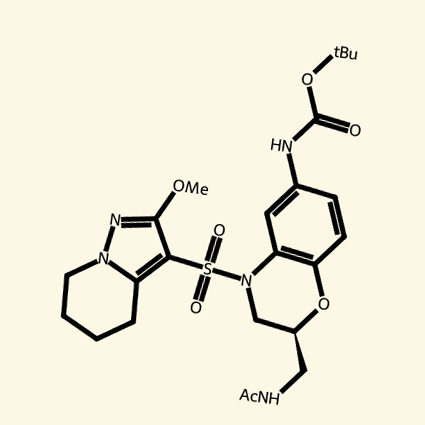 COc1nn2c(c1S(=O)(=O)N1C[C@H](CNC(C)=O)Oc3ccc(NC(=O)OC(C)(C)C)cc31)CCCC2